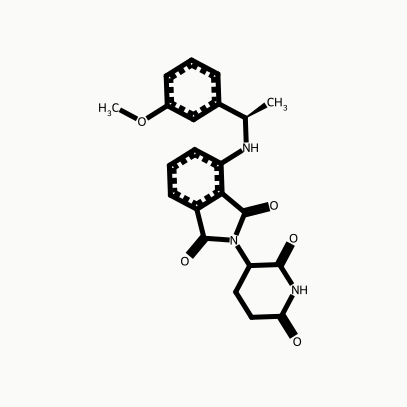 COc1cccc([C@@H](C)Nc2cccc3c2C(=O)N(C2CCC(=O)NC2=O)C3=O)c1